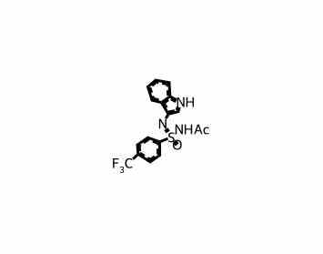 CC(=O)NS(=O)(=Nc1c[nH]c2ccccc12)c1ccc(C(F)(F)F)cc1